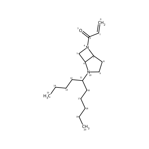 C=CC(=O)N1CC2C1CCN2C(CCCC)CCCCC